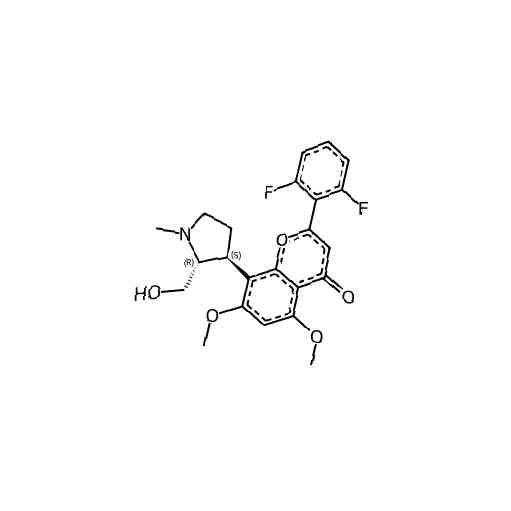 COc1cc(OC)c2c(=O)cc(-c3c(F)cccc3F)oc2c1[C@@H]1CCN(C)[C@H]1CO